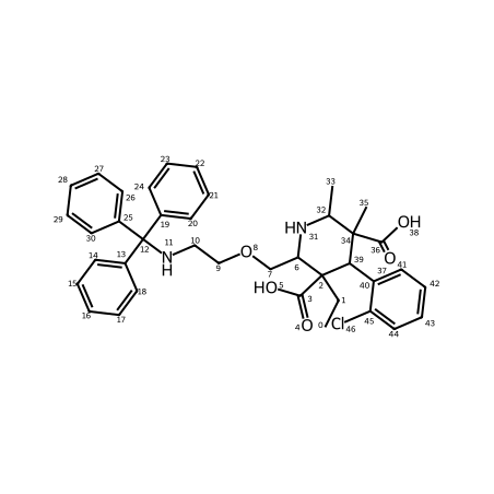 CCC1(C(=O)O)C(COCCNC(c2ccccc2)(c2ccccc2)c2ccccc2)NC(C)C(C)(C(=O)O)C1c1ccccc1Cl